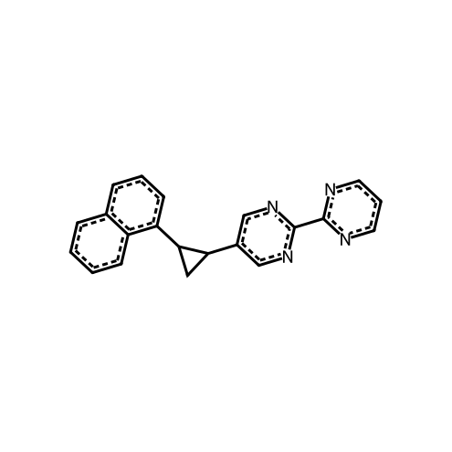 c1cnc(-c2ncc(C3CC3c3cccc4ccccc34)cn2)nc1